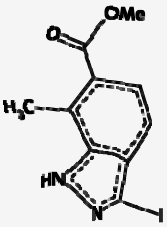 COC(=O)c1ccc2c(I)n[nH]c2c1C